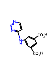 O=C(O)c1cc(Nc2ccnnn2)cc(C(=O)O)c1